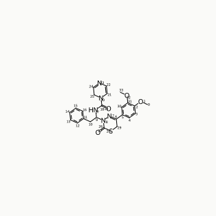 COc1ccc(C2=NN(C(Cc3ccccc3)NC(=O)N3C=CN=CC3)C(=O)SC2)cc1OC